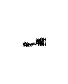 O=C(O)[C@H]1[C@@H]2CC(CCCCCOCc3ccccc3)=C[C@@H]2C[C@@H]1O